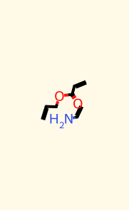 C=CCOC(=O)C=C.C=CN